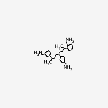 CC(CCC(CCC(C)c1ccccc1CN)c1ccc(CN)cc1)c1cccc(CN)c1